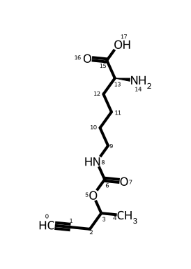 C#CCC(C)OC(=O)NCCCC[C@H](N)C(=O)O